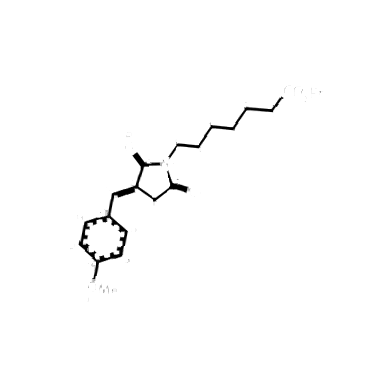 CCOC(=O)CCCCCCN1C(=O)C/C(=C\c2ccc(OC)cc2)C1=O